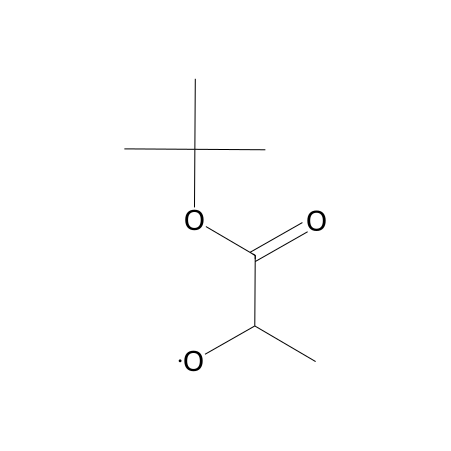 CC([O])C(=O)OC(C)(C)C